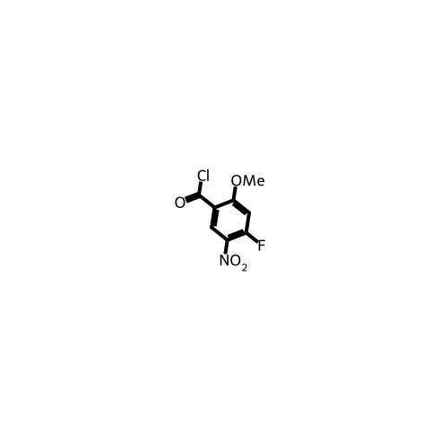 COc1cc(F)c([N+](=O)[O-])cc1C(=O)Cl